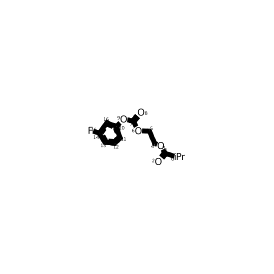 CC(C)C(=O)OCCOC(=O)Oc1cccc(F)c1